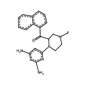 Nc1cc(N2CCN(F)CC2C(=O)c2cccc3ccccc23)nc(N)n1